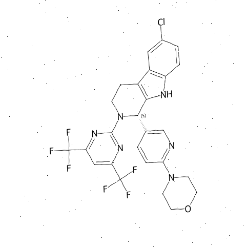 FC(F)(F)c1cc(C(F)(F)F)nc(N2CCc3c([nH]c4ccc(Cl)cc34)[C@@H]2c2ccc(N3CCOCC3)nc2)n1